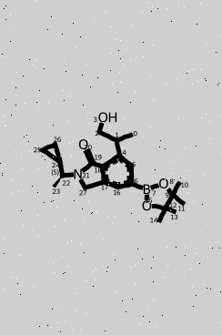 CC(CO)c1cc(B2OC(C)(C)C(C)(C)O2)cc2c1C(=O)N([C@@H](C)C1CC1)C2